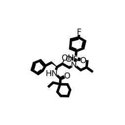 CCC1(C(=O)N[C@@H](Cc2ccccc2)[C@H](O)CN(CC(C)C)S(=O)(=O)c2ccc(F)cc2)CCCCC1